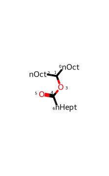 CCCCCCCCC(CCCCCCCC)OC(=O)CCCCCCC